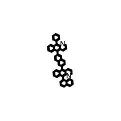 c1ccc(-c2c3ccccc3c(-c3ccc4cc(-c5c6ccccc6c(-c6cccc7ccccc67)c6ncccc56)ccc4c3)c3cccnc23)cc1